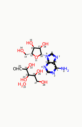 Nc1ncnc2c1ncn2[C@@H]1O[C@H](CO)[C@@H](O)[C@H]1O.O.O=CC(O)C(O)C(O)CO